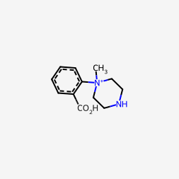 C[N+]1(c2ccccc2C(=O)O)CCNCC1